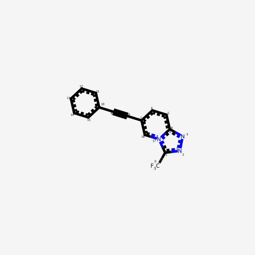 FC(F)(F)c1nnc2ccc(C#Cc3ccccc3)cn12